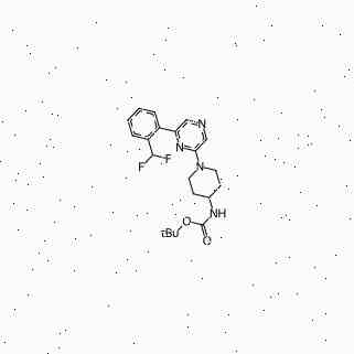 CC(C)(C)OC(=O)NC1CCN(c2cncc(-c3ccccc3C(F)F)n2)CC1